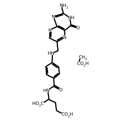 CC(=O)O.Nc1nc2ncc(CNc3ccc(C(=O)NC(CCC(=O)O)C(=O)O)cc3)nc2c(=O)[nH]1